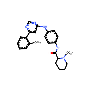 COc1ccccc1-c1cc(Nc2ccc(NC(=O)C3CCCCN3C(=O)O)cc2)ncn1